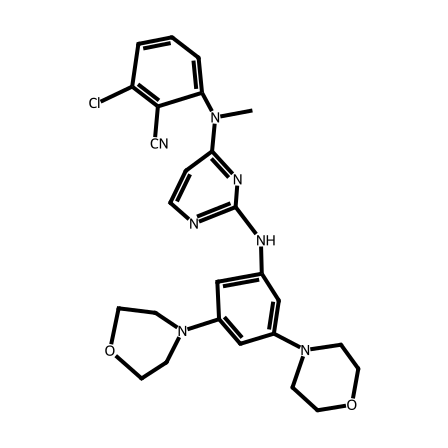 CN(c1ccnc(Nc2cc(N3CCOCC3)cc(N3CCOCC3)c2)n1)c1cccc(Cl)c1C#N